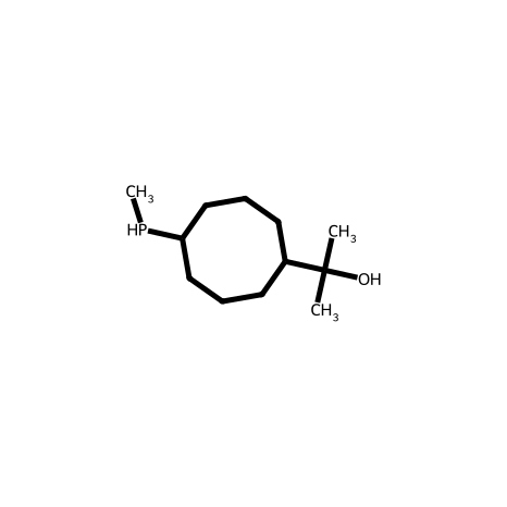 CPC1CCCC(C(C)(C)O)CCC1